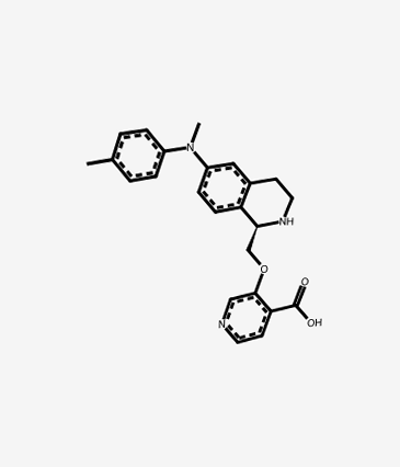 Cc1ccc(N(C)c2ccc3c(c2)CCN[C@H]3COc2cnccc2C(=O)O)cc1